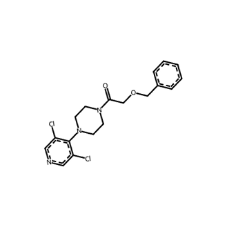 O=C(COCc1ccccc1)N1CCN(c2c(Cl)cncc2Cl)CC1